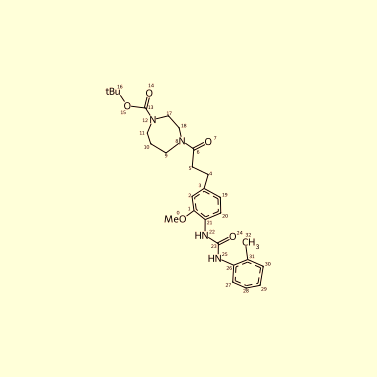 COc1cc(CCC(=O)N2CCCN(C(=O)OC(C)(C)C)CC2)ccc1NC(=O)Nc1ccccc1C